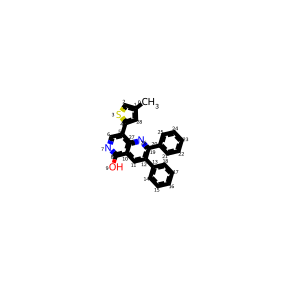 Cc1csc(-c2cnc(O)c3cc(-c4ccccc4)c(-c4cc[c]cc4)nc23)c1